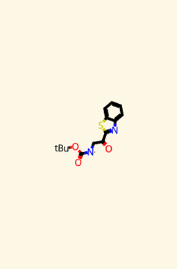 CC(C)(C)OC(=O)[N]CC(=O)c1nc2ccccc2s1